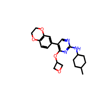 CC1CCC(Nc2ncc(-c3ccc4c(c3)OCCO4)c(OC3COC3)n2)CC1